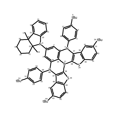 CC(C)(C)c1ccc(N2c3cc(N4c5ccccc5C5(C)CCCCC45C)cc4c3B(c3sc5ccc(C(C)(C)C)cc5c32)c2sc3ccc(C(C)(C)C)cc3c2N4c2ccc(C(C)(C)C)cc2)cc1